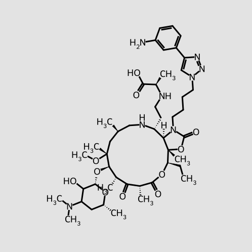 CC[C@H]1OC(=O)[C@H](C)C(=O)[C@H](C)[C@@H](O[C@@H]2O[C@H](C)CC(N(C)C)C2O)[C@](C)(OC)C[C@@H](C)CN[C@H](CCN[C@H](C)C(=O)O)[C@H]2N(CCCCn3cc(-c4cccc(N)c4)nn3)C(=O)O[C@]12C